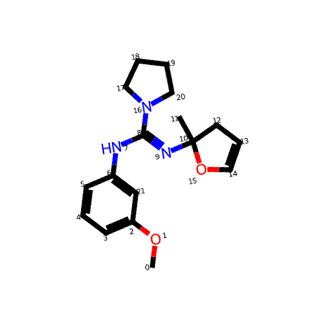 COc1cccc(NC(=NC2(C)CC=CO2)N2CCCC2)c1